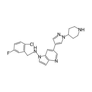 Fc1ccc(Cl)c(CNn2ccc3ncc(-c4cnn(C5CCNCC5)c4)cc32)c1